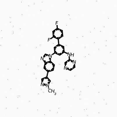 Cn1cc(-c2ccc3c(c2)ncn3-c2cc(Nc3cnccn3)cc(-c3ccc(F)cc3F)c2)cn1